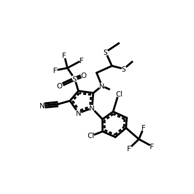 CSC(CN(C)c1c(S(=O)(=O)C(F)(F)F)c(C#N)nn1-c1c(Cl)cc(C(F)(F)F)cc1Cl)SC